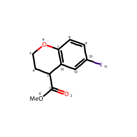 COC(=O)C1CCOc2ccc(I)cc21